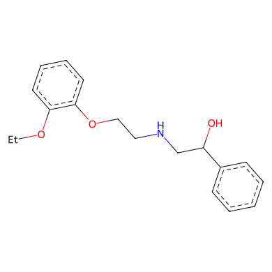 [CH2]COc1ccccc1OCCNCC(O)c1ccccc1